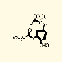 CCOC(=O)C(=O)Cl.CCOC(=O)C(=O)Nc1cc(Br)ccc1C=O